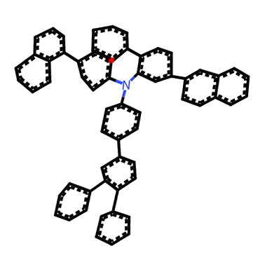 c1ccc(-c2ccc(-c3ccc(N(c4ccc(-c5cccc6ccccc56)cc4)c4cc(-c5ccc6ccccc6c5)ccc4-c4ccccc4)cc3)cc2-c2ccccc2)cc1